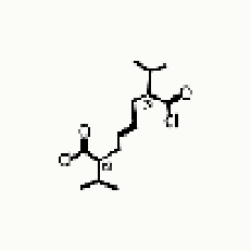 CC(C)[C@H](CC=CC[C@H](C(=O)Cl)C(C)C)C(=O)Cl